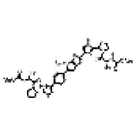 COC(=O)N[C@H](C(=O)N1CCCC1c1nc(-c2nc3cc(-c4ccc(-c5cnc([C@@H]6CCCN6C(=O)[C@@H](NC(=O)OC)C(C)C)[nH]5)cc4)n(C)c3s2)c[nH]1)C(C)C